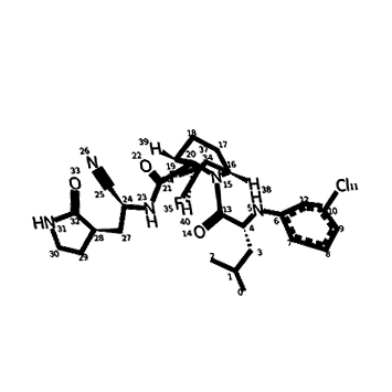 CC(C)C[C@@H](Nc1cccc(Cl)c1)C(=O)N1[C@H]2CC[C@@H]([C@@H]1C(=O)N[C@H](C#N)C[C@H]1CCNC1=O)C(F)(F)C2